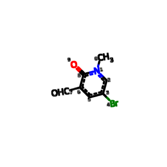 Cn1cc(Br)cc(C=O)c1=O